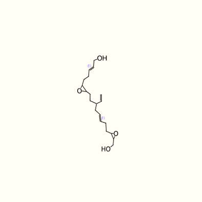 C=CC(C/C=C/CCC1OC1CO)CCC1OC1CC/C=C/CO